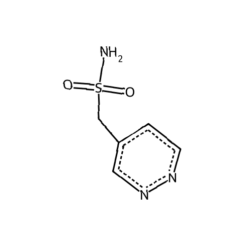 NS(=O)(=O)Cc1ccnnc1